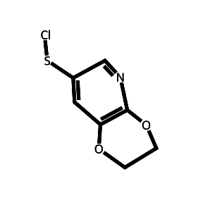 ClSc1cnc2c(c1)OCCO2